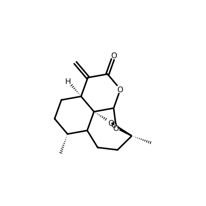 C=C1C(=O)OC2O[C@]3(C)CCC4[C@H](C)CC[C@@H]1[C@@]24OO3